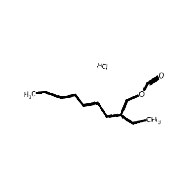 CCCCCCCC(CC)COC=O.Cl